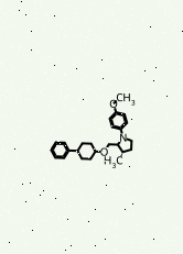 COc1ccc(N2CC[C@H](C)C2COC2CCC(c3ccccc3)CC2)cc1